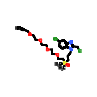 C#CCOCCOCCOCCOCCS(C)(C)(=O)CCCn1c(CCl)nc2cc(Cl)ccc21